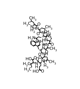 CC[C@H](C)[C@H](NC(=O)[C@H](CCC(=O)O)NC(=O)[C@H](CC(C)C)NC(=O)[C@H](Cc1c[nH]c2ccccc12)NC(=O)[C@H](C)NC(=O)[C@H](CS)NC(=O)[C@H](CCC(N)=O)NC(=O)[C@H](CC(C)C)NC(=O)[C@@H](N)CC(C)C)C(=O)O